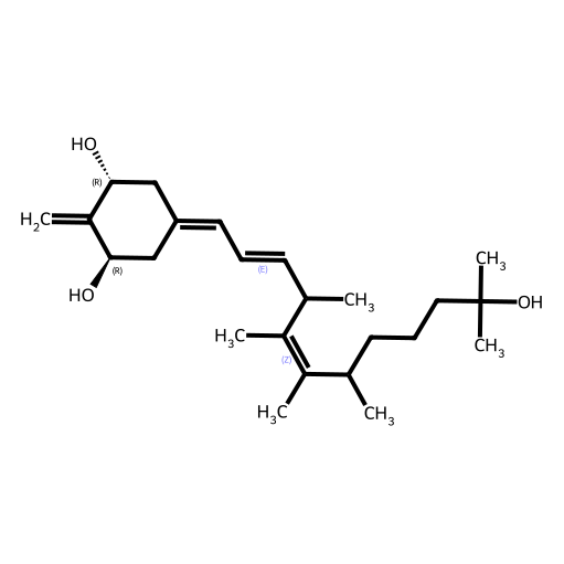 C=C1[C@H](O)CC(=C/C=C/C(C)/C(C)=C(/C)C(C)CCCC(C)(C)O)C[C@H]1O